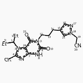 CCC(CC)n1c(Cl)nc2[nH]c(=O)n(CCCc3cnn(CC#N)c3)c(=O)c21